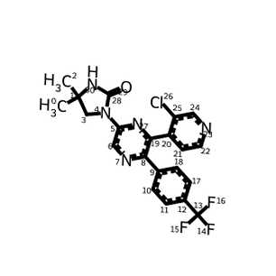 CC1(C)CN(c2cnc(-c3ccc(C(F)(F)F)cc3)c(-c3ccncc3Cl)n2)C(=O)N1